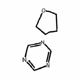 C1CCOC1.c1ncncn1